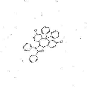 Clc1ccc2c(c1)[Si](c1ccccc1)(c1ccccc1)c1cc(Cl)ccc1C1C2N=C(c2ccccc2)N1c1ccccc1